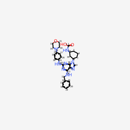 O=C(O)NC1CCCC(n2cnc3c(NCc4ccccc4)nc(Nc4ccc(N5CCOCC5)cc4)nc32)C1